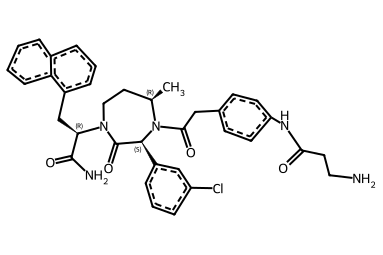 C[C@@H]1CCN([C@H](Cc2cccc3ccccc23)C(N)=O)C(=O)[C@H](c2cccc(Cl)c2)N1C(=O)Cc1ccc(NC(=O)CCN)cc1